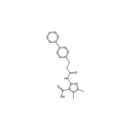 Cc1sc(NC(=O)CCc2ccc(-c3ccccc3)cc2)c(C(=O)O)c1C